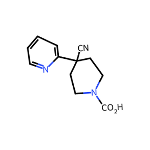 N#CC1(c2ccccn2)CCN(C(=O)O)CC1